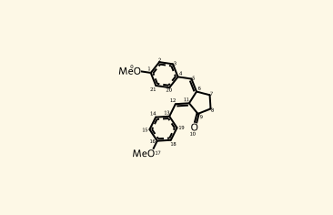 COc1ccc(C=C2CCC(=O)C2=Cc2ccc(OC)cc2)cc1